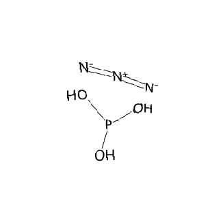 OP(O)O.[N-]=[N+]=[N-]